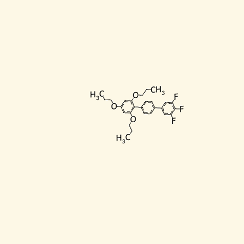 CCCOc1cc(OCCC)c(-c2ccc(-c3cc(F)c(F)c(F)c3)cc2)c(OCCC)c1